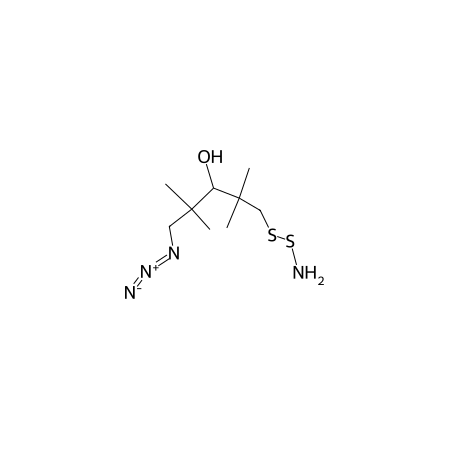 CC(C)(CN=[N+]=[N-])C(O)C(C)(C)CSSN